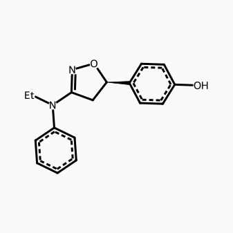 CCN(C1=NO[C@@H](c2ccc(O)cc2)C1)c1ccccc1